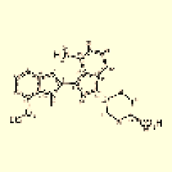 CCOc1cccc2cc(-c3nc([C@H]4CC[C@H](C(=O)O)CC4)n4ccnc(N)c34)[nH]c12